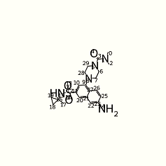 CN(C)C(=O)N1CCN(c2cc(S(=O)(=O)NC3(C)CC3)cc3cc(N)ccc23)CC1